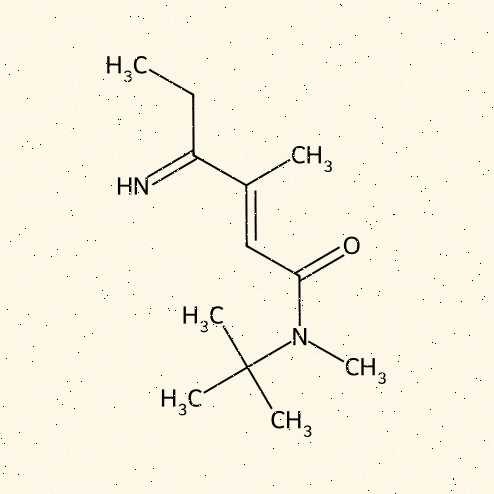 CCC(=N)/C(C)=C/C(=O)N(C)C(C)(C)C